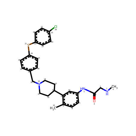 CNCC(=O)Nc1ccc(C)c(C2CCN(Cc3ccc(Sc4ccc(Cl)cc4)cc3)CC2)c1